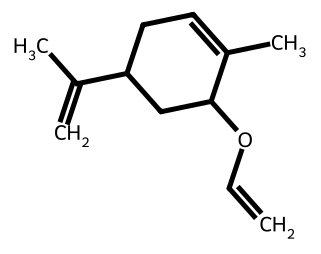 C=COC1CC(C(=C)C)CC=C1C